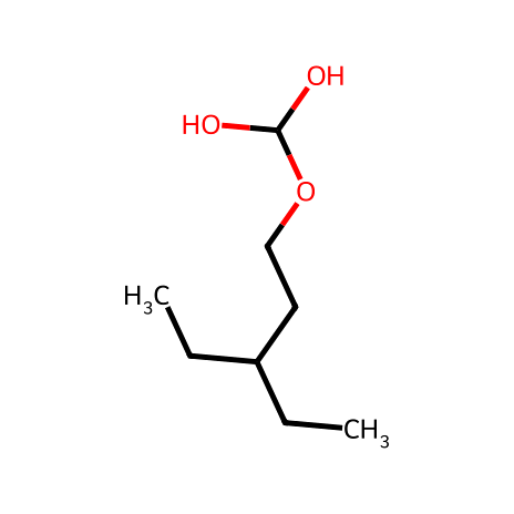 CCC(CC)CCOC(O)O